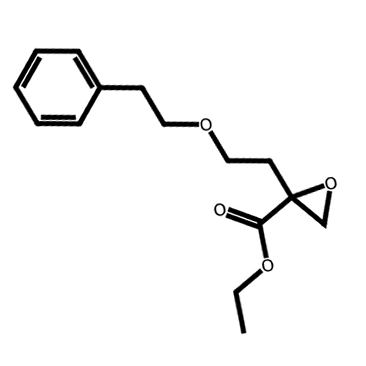 CCOC(=O)C1(CCOCCc2ccccc2)CO1